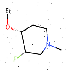 CCO[C@@H]1CCN(C)C[C@@H]1F